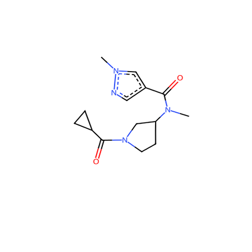 CN(C(=O)c1cnn(C)c1)C1CCN(C(=O)C2CC2)C1